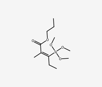 CCCOC(=O)C(C)=C(CC)[Si](OC)(OC)OC